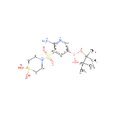 CC1(C)OB(c2cnc(N)c(S(=O)(=O)N3CCS(O)(O)CC3)c2)OC1(C)C